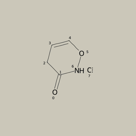 O=C1CC=CON1.[C]